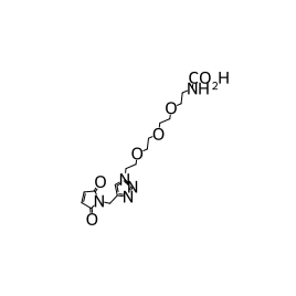 O=C(O)NCCOCCOCCOCCn1cc(CN2C(=O)C=CC2=O)nn1